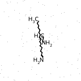 CCCCCCCCCCCCCCCCC=CN.CCCN